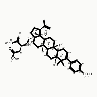 C=C(C)[C@@H]1CC[C@]2(CN[C@@H](CC(=O)OC)C(=O)OC)CC[C@]3(C)[C@H](CC[C@@H]4[C@@]5(C)CC=C(c6ccc(C(=O)O)cc6)C(C)(C)[C@@H]5CC[C@]43C)[C@@H]12